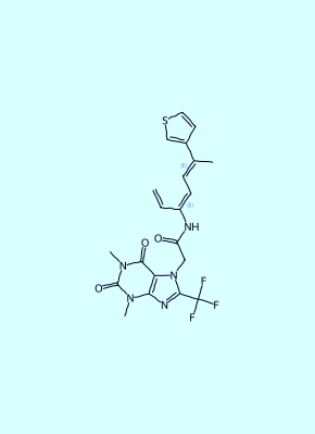 C=C/C(=C\C=C(/C)c1ccsc1)NC(=O)Cn1c(C(F)(F)F)nc2c1c(=O)n(C)c(=O)n2C